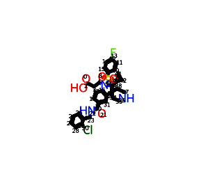 O=C(O)CC[N+]1(S(=O)(=O)c2ccc(F)cc2)c2ccc(C(=O)NCc3ccccc3Cl)cc2C2(CCNCC2)C1C1CC1